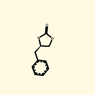 O=C1[N][C@H](Cc2ccccc2)CO1